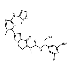 COc1cc(F)cc([C@@H](CO)NC(=O)[C@H](C)N2CCn3cc(-c4nc(Nc5ccnn5C)ncc4C)cc3C2=O)c1